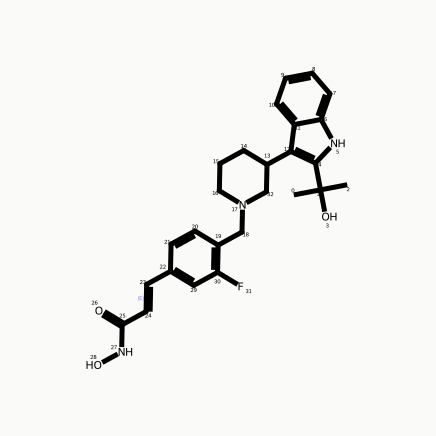 CC(C)(O)c1[nH]c2ccccc2c1C1CCCN(Cc2ccc(/C=C/C(=O)NO)cc2F)C1